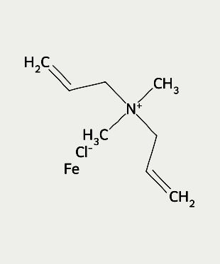 C=CC[N+](C)(C)CC=C.[Cl-].[Fe]